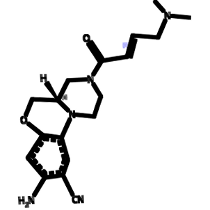 CN(C)C/C=C/C(=O)N1CCN2c3cc(C#N)c(N)cc3OC[C@@H]2C1